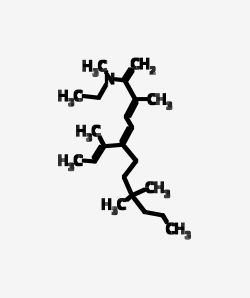 C=C(/C(C)=C/C=C(CCC(C)(C)CCC)\C(C)=C\C)N(C)CC